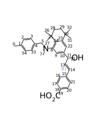 Cc1ccc(CN(C)c2cc(C(O)/C=C/c3ccc(C(=O)O)cc3)cc3c2C(C)(C)CCC3(C)C)cc1